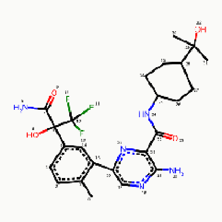 Cc1ccc(C(O)(C(N)=O)C(F)(F)F)cc1-c1cnc(N)c(C(=O)NC2CCC(C(C)(C)O)CC2)n1